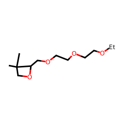 CCOCCOCCOCC1OCC1(C)C